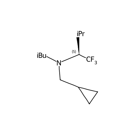 CCC(C)N(CC1CC1)[C@@H](C(C)C)C(F)(F)F